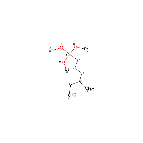 CCO[Si](CCCC(C=O)CC=O)(OCC)OCC